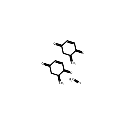 C=C1CC(=O)C=CC1=O.C=C1CC(=O)C=CC1=O.C=O